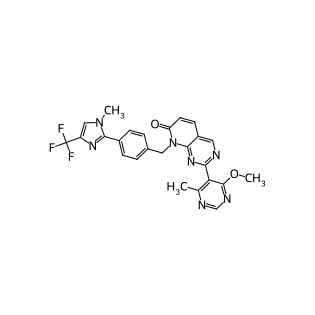 COc1ncnc(C)c1-c1ncc2ccc(=O)n(Cc3ccc(-c4nc(C(F)(F)F)cn4C)cc3)c2n1